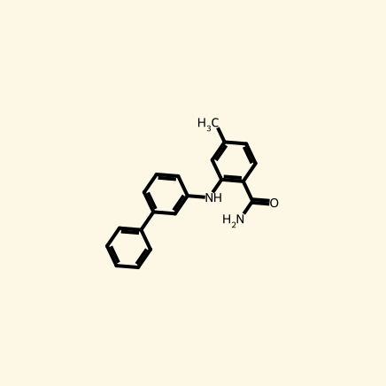 Cc1ccc(C(N)=O)c(Nc2cccc(-c3ccccc3)c2)c1